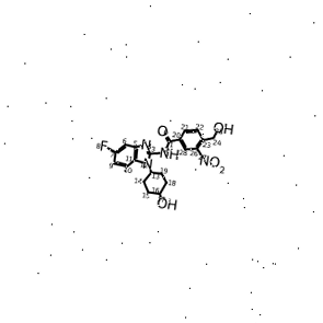 O=C(Nc1nc2cc(F)ccc2n1C1CCC(O)CC1)c1ccc(CO)c([N+](=O)[O-])c1